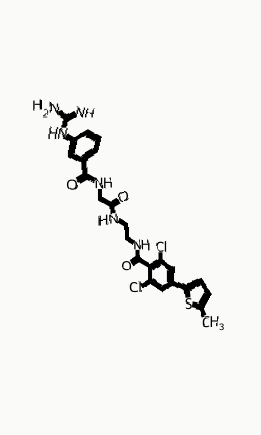 Cc1ccc(-c2cc(Cl)c(C(=O)NCCNC(=O)CNC(=O)c3cccc(NC(=N)N)c3)c(Cl)c2)s1